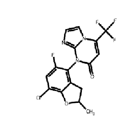 CC1Cc2c(c(Cl)cc(F)c2-n2c(=O)cc(C(F)(F)F)n3ccnc23)O1